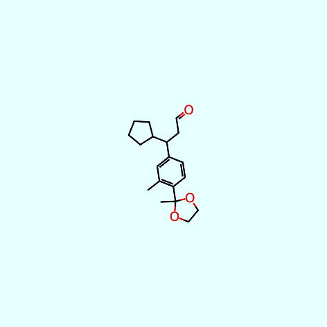 Cc1cc(C(CC=O)C2CCCC2)ccc1C1(C)OCCO1